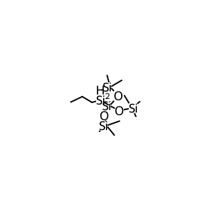 CCC[SiH2][Si](O[Si](C)(C)C)(O[Si](C)(C)C)O[Si](C)(C)C